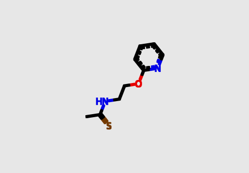 CC(=S)NCCOc1ccccn1